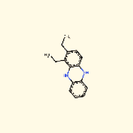 CCc1ccc2c(c1CC)Nc1ccccc1N2